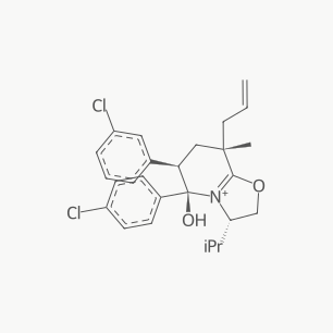 C=CC[C@@]1(C)C[C@H](c2cccc(Cl)c2)[C@@](O)(c2ccc(Cl)cc2)[N+]2=C1OC[C@@H]2C(C)C